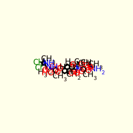 C=C1CC[C@@H](O[C@H]2C[C@@](O)([C@H](C)NC(=O)c3[nH]c(C)c(Cl)c3Cl)[C@H](O)[C@@H](C)O2)[C@@H]2C=C[C@H](C)C(/C(O)=C3\C(=O)[C@H](C(C)C)N([C@H]4O[C@H](C)[C@H](OC(N)=O)[C@H](OC(C)=O)[C@@H]4OC)C3=O)[C@@H]12